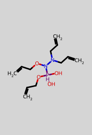 C=CCON(N(CC=C)CC=C)[PH](O)(O)OCC=C